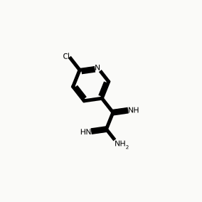 N=C(N)C(=N)c1ccc(Cl)nc1